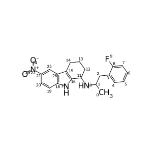 CC(Cc1ccccc1F)NC1CCCc2c1[nH]c1ccc([N+](=O)[O-])cc21